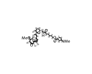 CNC1CCN(C(=O)OCCCCCC(=O)NC[C@H]2CC[C@H](C)[C@@H](/C(C)=C/C=C/[C@@H](C)C[C@@]3(C)O[C@@H]3[C@H](C)[C@@H](OC)[C@@H](C)O)O2)C1